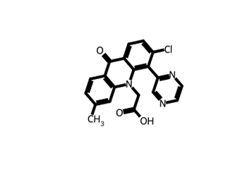 Cc1ccc2c(=O)c3ccc(Cl)c(-c4cnccn4)c3n(CC(=O)O)c2c1